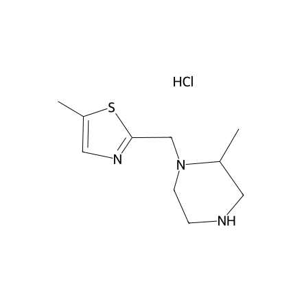 Cc1cnc(CN2CCNCC2C)s1.Cl